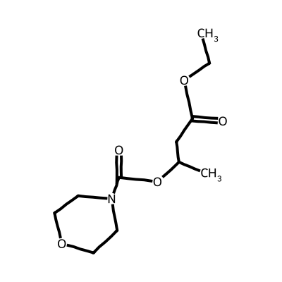 CCOC(=O)CC(C)OC(=O)N1CCOCC1